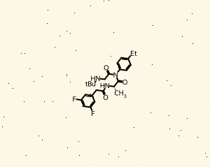 CCc1ccc(N(C(=O)CNC(C)(C)C)C(=O)[C@H](C)NC(=O)Cc2cc(F)cc(F)c2)cc1